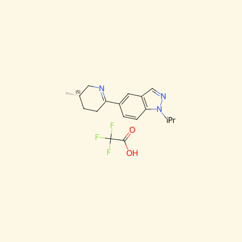 CC(C)n1ncc2cc(C3=NC[C@@H](C)CC3)ccc21.O=C(O)C(F)(F)F